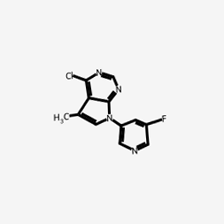 Cc1cn(-c2cncc(F)c2)c2ncnc(Cl)c12